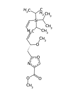 COC(=O)c1coc(C[C@H](/C=C/C=C\[Si](C(C)C)(C(C)C)C(C)C)OC)n1